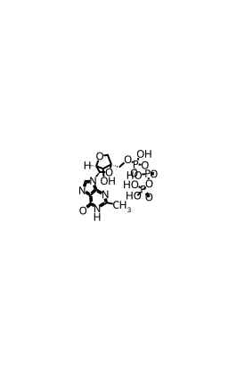 Cc1nc2c(ncn2[C@@H]2O[C@]3(COP(=O)(O)OP(=O)(O)OP(=O)(O)O)CO[C@H]2C3O)c(=O)[nH]1